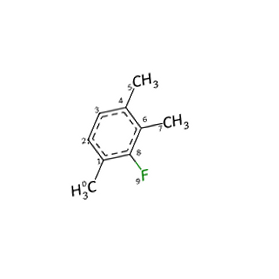 Cc1[c]cc(C)c(C)c1F